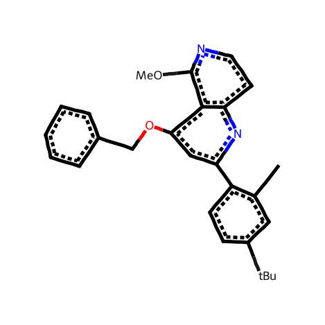 COc1nccc2nc(-c3ccc(C(C)(C)C)cc3C)cc(OCc3ccccc3)c12